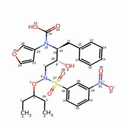 CCC(CC)ON(C[C@@H](O)[C@H](Cc1ccccc1)N(C(=O)O)c1ccoc1)S(=O)(=O)c1cccc([N+](=O)[O-])c1